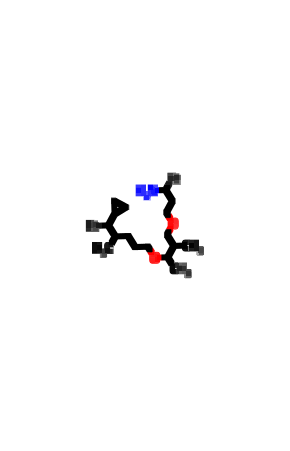 CCC(N)CCOCC(C)C(C)OCCCC(C)C(CC)C1CC1